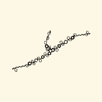 C=CC(=O)CCCCCCCOc1ccc(OC(=O)C2CCC(OC(=O)c3ccc(C(=O)Oc4ccc5c6ccc(OC(=O)c7ccc(C(=O)OC8CCC(C(=O)Oc9ccc(OCCCCCCOC(=O)C=C)cc9)CC8)cc7)cc6c6nc7cc(OCCOCCOCC)ccc7nc6c5c4)cc3)CC2)cc1